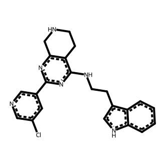 Clc1cncc(-c2nc3c(c(NCCc4c[nH]c5ccccc45)n2)CCNC3)c1